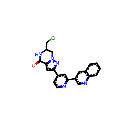 O=C1NC(CCl)Cn2nc(-c3ccnc(-c4cnc5ccccc5c4)c3)cc21